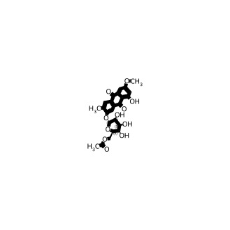 COc1cc(O)c2c(c1)C(=O)c1cc(C)c(O[C@H]3O[C@H](COC(C)=O)[C@@H](O)[C@H](O)[C@H]3O)cc1C2=O